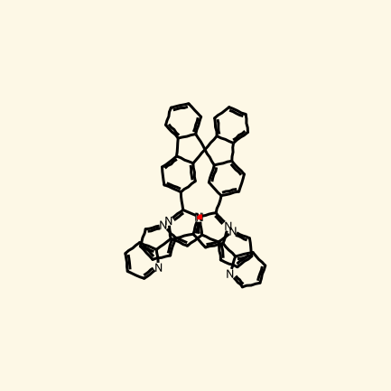 c1ccc(-c2cc(-c3ccccn3)nc(-c3ccc4c(c3)C3(c5ccccc5-4)c4ccccc4-c4ccc(-c5nc(-c6ccccn6)cc(-c6ccccn6)n5)cc43)n2)nc1